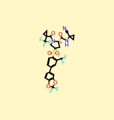 N#CC1(NC(=O)[C@@H]2C[C@@H](S(=O)(=O)c3ccc(-c4ccc5c(c4)OC(F)(F)O5)cc3C(F)(F)F)CN2C(=O)C2(C(F)(F)F)CC2)CC1